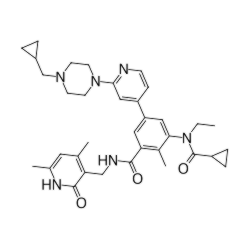 CCN(C(=O)C1CC1)c1cc(-c2ccnc(N3CCN(CC4CC4)CC3)c2)cc(C(=O)NCc2c(C)cc(C)[nH]c2=O)c1C